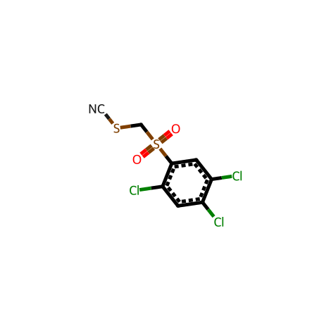 N#CSCS(=O)(=O)c1cc(Cl)c(Cl)cc1Cl